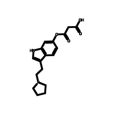 O=C(O)CC(=O)Oc1ccc2c(CCN3CCCC3)c[nH]c2c1